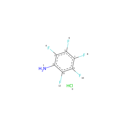 Cl.Nc1c(F)c(F)c(F)c(F)c1F